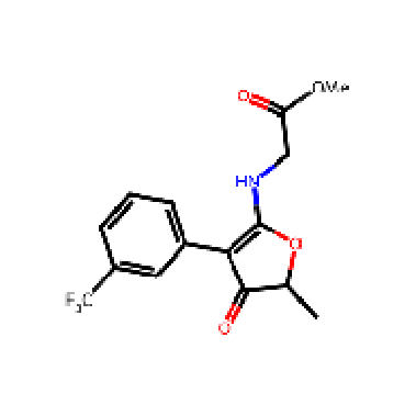 COC(=O)CNC1=C(c2cccc(C(F)(F)F)c2)C(=O)C(C)O1